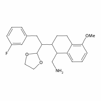 COc1cccc2c1CCC(C(Cc1cccc(F)c1)C1OCCO1)C2CN